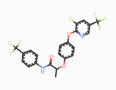 CC(Oc1ccc(Oc2ncc(C(F)(F)F)cc2F)cc1)C(=O)Nc1ccc(C(F)(F)F)cc1